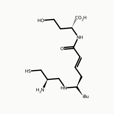 CC[C@H](C)[C@H](CC=CC(=O)N[C@H](CCO)C(=O)O)NC[C@@H](N)CS